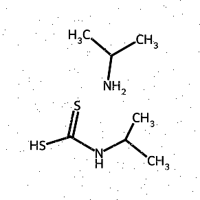 CC(C)N.CC(C)NC(=S)S